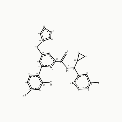 Cc1ccnc(C(NC(=O)c2cc(Cn3ccnc3)cc(-c3ccc(F)cc3Cl)n2)C2CC2)c1